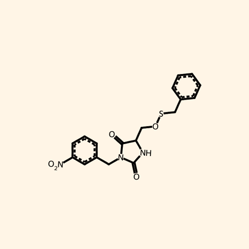 O=C1NC(COSCc2ccccc2)C(=O)N1Cc1cccc([N+](=O)[O-])c1